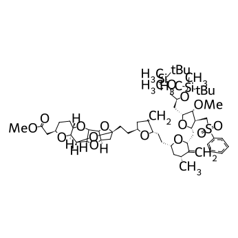 C=C1C[C@H](CC[C@@]23C[C@H]4O[C@@H]5C(O[C@H]6CC[C@H](CC(=O)OC)O[C@@H]6[C@@H]5O2)C4O3)O[C@H]1CC[C@H]1C[C@@H](C)C(=C)[C@@H](C[C@@H]2O[C@H](C[C@@H](CO[Si](C)(C)C(C)(C)C)O[Si](C)(C)C(C)(C)C)[C@H](OC)[C@H]2CS(=O)(=O)c2ccccc2)O1